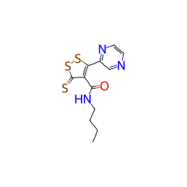 CCCCNC(=O)c1c(-c2cnccn2)ssc1=S